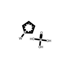 O=P(O)(O)O.[W][n]1cccc1